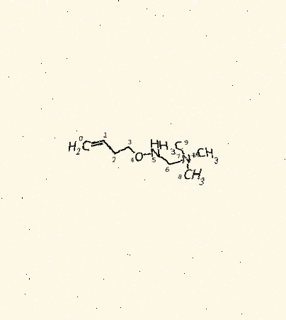 C=CCCONC[N+](C)(C)C